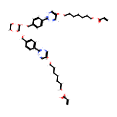 C=CC(=O)OCCCCCCCOc1cnc(-c2ccc(CO[C@@H]3OCCO[C@H]3OCc3ccc(-c4ncc(OCCCCCCCOC(=O)C=C)cn4)cc3)cc2)nc1